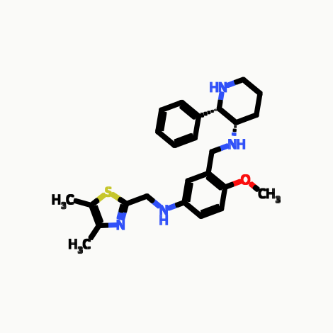 COc1ccc(NCc2nc(C)c(C)s2)cc1CN[C@H]1CCCN[C@H]1c1ccccc1